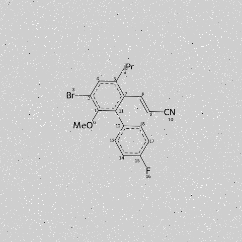 COc1c(Br)cc(C(C)C)c(C=CC#N)c1-c1ccc(F)cc1